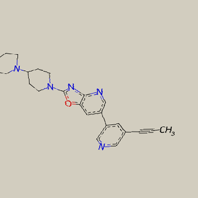 CC#Cc1cncc(-c2cnc3nc(N4CCC(N5CCCCC5)CC4)oc3c2)c1